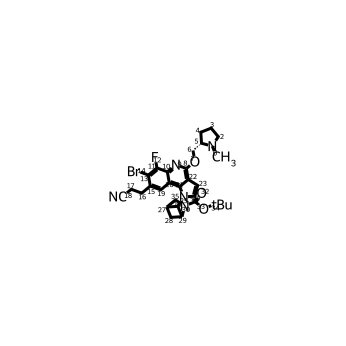 CN1CCC[C@H]1COc1nc2c(F)c(Br)c(CCC#N)cc2c2c1ccn2C1C2CC1N(C(=O)OC(C)(C)C)C2